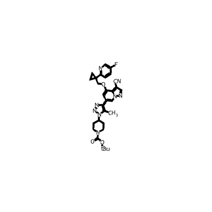 Cc1c(-c2cc(OCC3(c4ccc(F)cn4)CC3)c3c(C#N)cnn3c2)nnn1C1CCN(C(=O)OC(C)(C)C)CC1